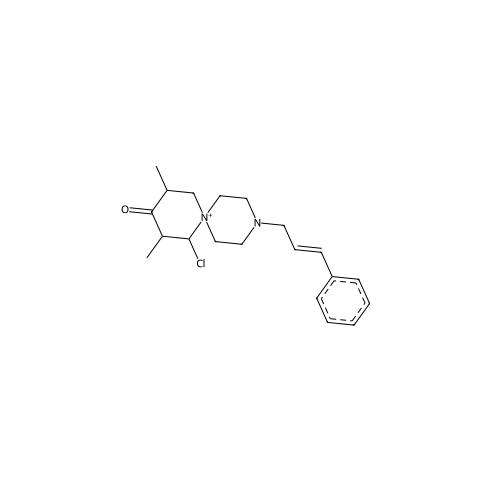 CC1C[N+]2(CCN(CC=Cc3ccccc3)CC2)C(Cl)C(C)C1=O